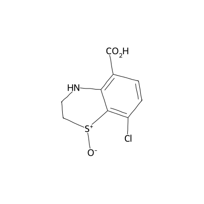 O=C(O)c1ccc(Cl)c2c1NCC[S+]2[O-]